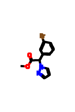 COC(=O)C(c1cccc(Br)c1)n1cccn1